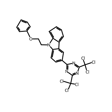 ClC(Cl)(Cl)c1nc(-c2ccc3c(c2)c2ccccc2n3CCOc2ccccc2)nc(C(Cl)(Cl)Cl)n1